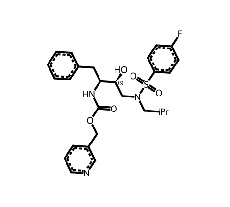 CC(C)CN(C[C@H](O)C(Cc1ccccc1)NC(=O)OCc1cccnc1)S(=O)(=O)c1ccc(F)cc1